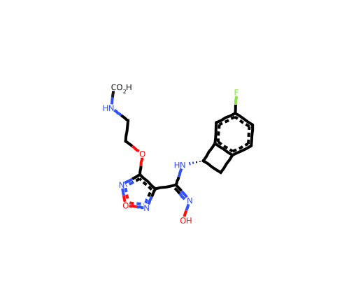 O=C(O)NCCOc1nonc1/C(=N\O)N[C@H]1Cc2ccc(F)cc21